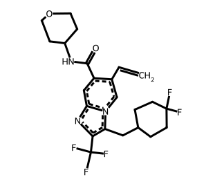 C=Cc1cn2c(CC3CCC(F)(F)CC3)c(C(F)(F)F)nc2cc1C(=O)NC1CCOCC1